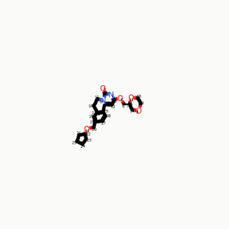 O=c1nc(OC[C@@H]2COCCO2)cc2n1CCc1cc(COC3CCCC3)ccc1-2